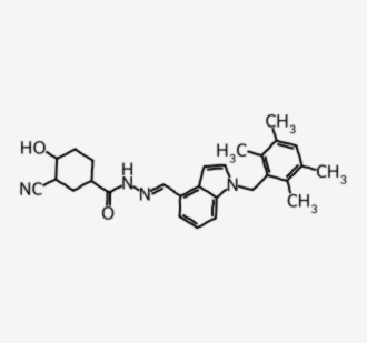 Cc1cc(C)c(C)c(Cn2ccc3c(/C=N/NC(=O)C4CCC(O)C(C#N)C4)cccc32)c1C